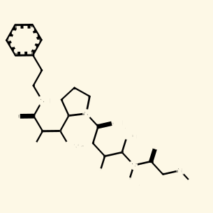 C=C(CC(C)C(C(C)CC)N(C)C(=O)CNC=O)N1CCCC1C(OC)C(C)C(=O)NCCc1ccccc1